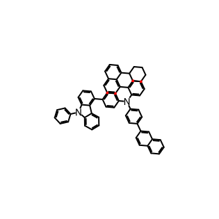 c1ccc(-n2c3ccccc3c3c(-c4ccc(N(c5ccc(-c6ccc7ccccc7c6)cc5)c5ccccc5-c5cccc6cccc(C7CCCCC7)c56)cc4)cccc32)cc1